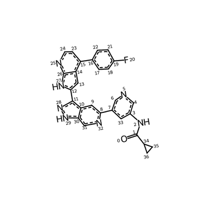 O=C(Nc1cncc(-c2cc3c(-c4cc5c(-c6ccc(F)cc6)ccnc5[nH]4)n[nH]c3cn2)c1)C1CC1